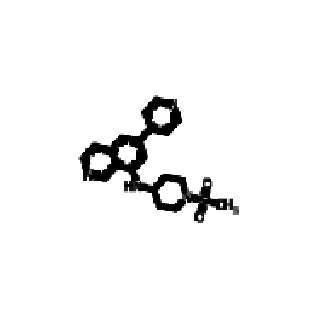 CS(=O)(=O)N1CCC(Nc2cc(-c3ccncc3)cc3ccncc23)CC1